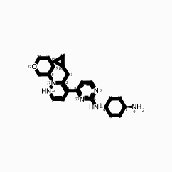 N[C@H]1CC[C@H](Nc2nccc(C3=C(CC4CC4)N(C4CCCOC4)NC=C3)n2)CC1